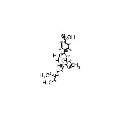 CCN(CC)CCCNC(=O)C(C)(CC)CC(C)c1ccc(S(=O)O)cc1